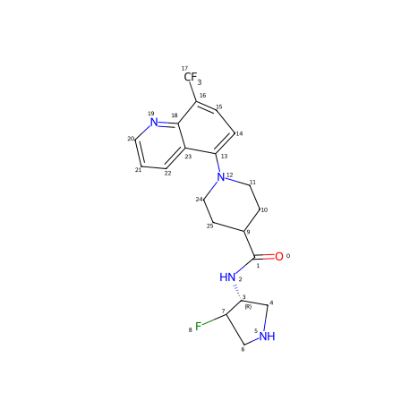 O=C(N[C@@H]1CNCC1F)C1CCN(c2ccc(C(F)(F)F)c3ncccc23)CC1